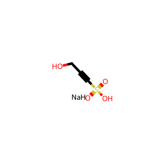 O=S(=O)(O)C#CCO.[NaH]